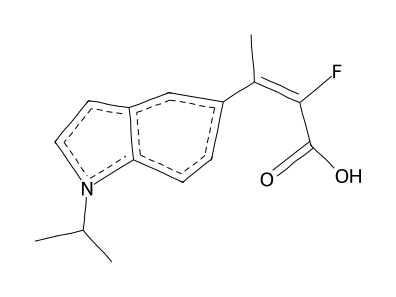 C/C(=C(\F)C(=O)O)c1ccc2c(ccn2C(C)C)c1